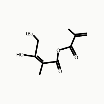 C=C(C)C(=O)OC(=O)C(C)=C(O)CC(C)(C)C